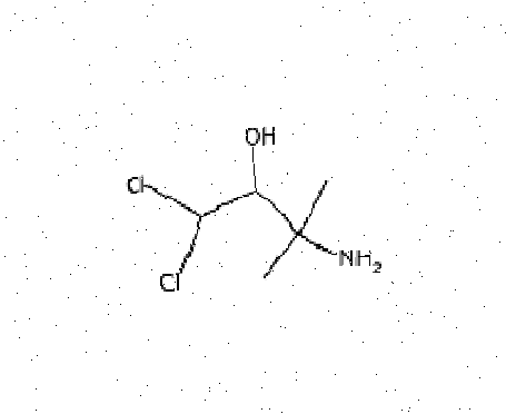 CC(C)(N)C(O)C(Cl)Cl